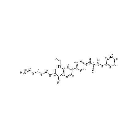 CCNc1nc(-c2ccc(NC(=O)NCc3cccnc3)cc2)ccc1C(=O)NCCCCCCN